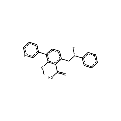 COc1c(-c2cccnc2)ccc(C[S+]([O-])c2ccccc2)c1C(=O)O